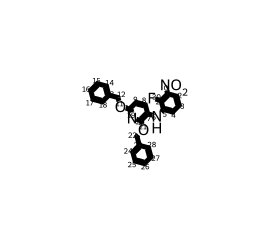 O=[N+]([O-])c1cccc(Nc2ccc(OCc3ccccc3)nc2OCc2ccccc2)c1F